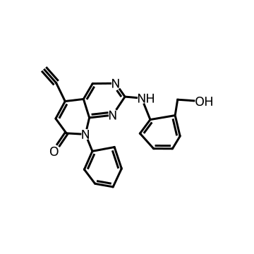 C#Cc1cc(=O)n(-c2ccccc2)c2nc(Nc3ccccc3CO)ncc12